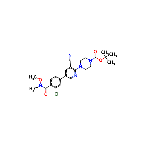 CON(C)C(=O)c1ccc(-c2cnc(N3CCN(C(=O)OC(C)(C)C)CC3)c(C#N)c2)cc1Cl